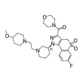 COC1CCN(CCN2CCC[C@H](n3nc(C(=O)N4CCOCC4)c4c3-c3ccc(F)cc3S(=O)(=O)C4)C2)CC1